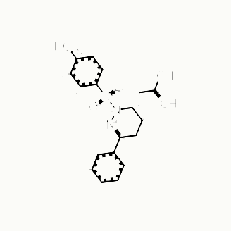 C=C(C)C[C@@H]1CCC(c2ccccc2)=NN1S(=O)(=O)c1ccc(C)cc1